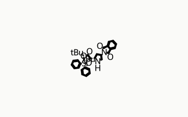 CC(C)(C)OC(=O)C(O[Si](c1ccccc1)(c1ccccc1)C(C)(C)C)[C@@H]1C[C@H](N2C(=O)c3ccccc3C2=O)CN1